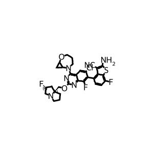 N#Cc1c(N)sc2c(F)ccc(-c3c(Cl)cc4c(N5CCCOC6CC65)nc(OC[C@@]56CCCN5C[C@H](F)C6)nc4c3F)c12